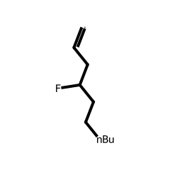 [CH]=CCC(F)CCCCCC